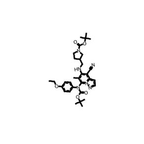 CCOc1ccc(N(C(=O)OC(C)(C)C)c2c(C)c(NCC3CCN(C(=O)OC(C)(C)C)C3)c(C#N)c3ccnn23)cc1